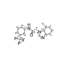 Cc1cccc2ncn(CC(=O)Nc3cccc(C(F)(F)F)c3)c12